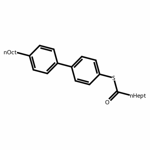 CCCCCCCCc1ccc(-c2ccc(SC(=O)CCCCCCC)cc2)cc1